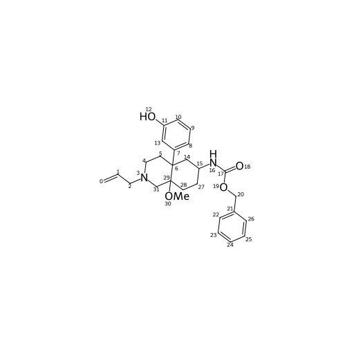 C=CCN1CCC2(c3cccc(O)c3)CC(NC(=O)OCc3ccccc3)CCC2(OC)C1